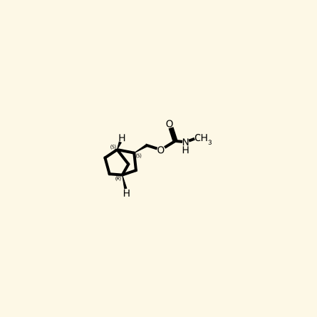 CNC(=O)OC[C@H]1C[C@@H]2CC[C@H]1C2